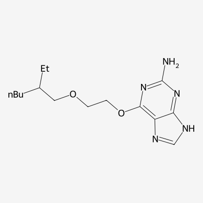 CCCCC(CC)COCCOc1nc(N)nc2[nH]cnc12